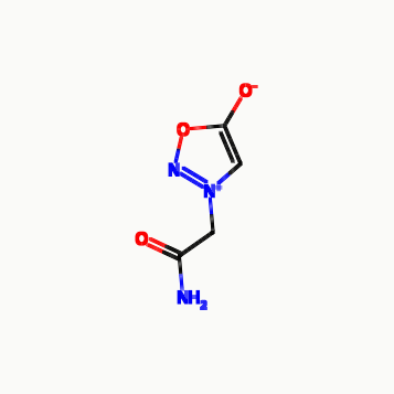 NC(=O)C[n+]1cc([O-])on1